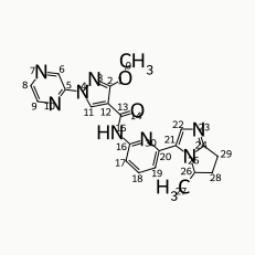 COc1nn(-c2cnccn2)cc1C(=O)Nc1cccc(-c2cnc3n2C(C)CC3)n1